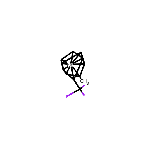 C[C]12[CH]3[CH]4[CH]5[CH]1[Fe]45321678[CH]2[CH]1[CH]6[C]7(C(I)(I)I)[CH]28